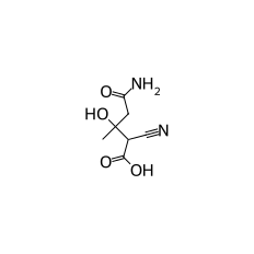 CC(O)(CC(N)=O)C(C#N)C(=O)O